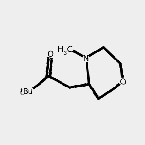 CN1CCOCC1CC(=O)C(C)(C)C